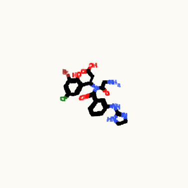 NCC(=O)N(C(=O)c1cccc(NC2=NCCN2)c1)[C@H](CC(=O)O)c1cc(Cl)cc(Br)c1O